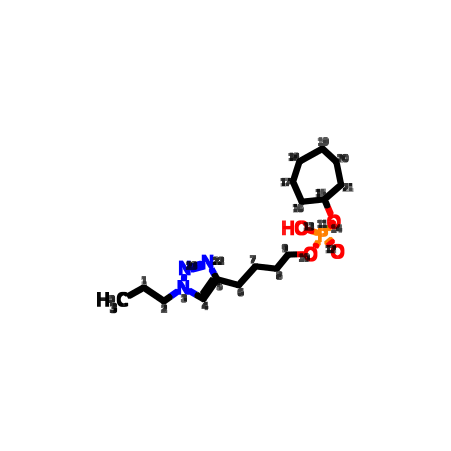 CCCn1cc(CCCCOP(=O)(O)OC2CCCCCC2)nn1